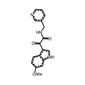 COc1ccc2c(C(=O)C(=O)NCc3cccnc3)c[nH]c2c1